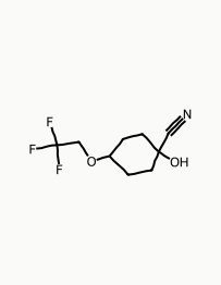 N#CC1(O)CCC(OCC(F)(F)F)CC1